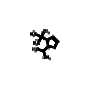 CC(C)C1CC=CN1C(C)(C)C